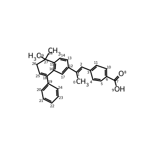 CC(=Cc1ccc(C(=O)O)cc1)c1ccc2c(c1)C(c1ccccc1)=CCC2(C)C